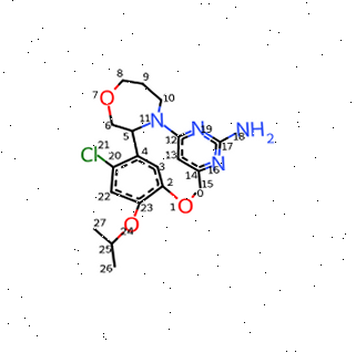 COc1cc(C2COCCCN2c2cc(C)nc(N)n2)c(Cl)cc1OC(C)C